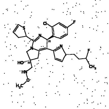 CONC[C@]1(O)CC2=C(C3=NC(CCC(C)F)C=C3)[C@H](c3ccc(F)cc3Cl)N=C(C3CC=CS3)N2C1